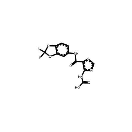 O=C(O)Nc1ncsc1C(=O)Nc1ccc2c(c1)OC(F)(F)O2